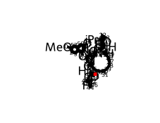 COc1ccc2c(O[C@@H]3C[C@H]4C(=O)N[C@]5(C(=O)NS(=O)(=O)C6(C)CC6)C[C@H]5C=CCC[C@@H](C)C[C@@H](C)[C@H](NC(=O)OC(C)(C)C(C)(F)F)C(=O)N4C3)nc(OC(C)C)cc2c1